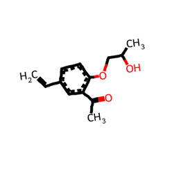 C=Cc1ccc(OCC(C)O)c(C(C)=O)c1